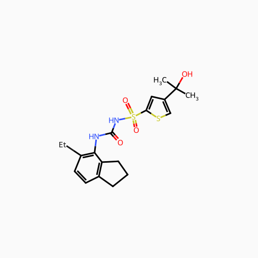 CCc1ccc2c(c1NC(=O)NS(=O)(=O)c1cc(C(C)(C)O)cs1)CCC2